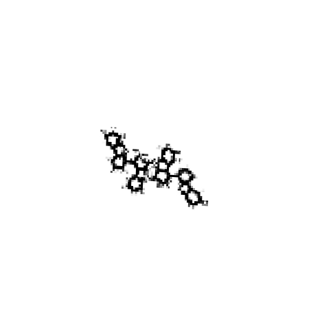 C1=C(c2cccc3c2sc2ccccc23)C2c3ccccc3N3c4ccc(-c5cccc6c5sc5ccccc56)c5c6ccccc6n(c45)C(=C1)C23